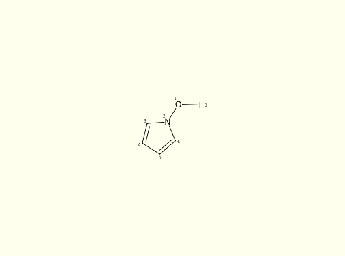 IOn1cccc1